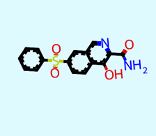 NC(=O)c1ncc2cc(S(=O)(=O)c3ccccc3)ccc2c1O